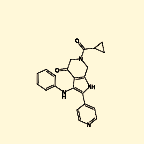 O=C1CN(C(=O)C2CC2)Cc2[nH]c(-c3ccncc3)c(Nc3ccccc3)c21